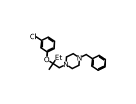 CCC(C)(CN1CCN(Cc2ccccc2)CC1)Oc1cccc(Cl)c1